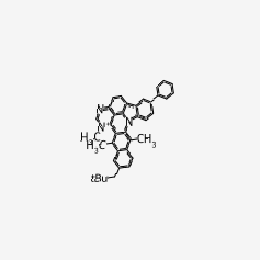 Cc1c2cc(CC(C)(C)C)ccc2c(C)c2c1c1c3c(ccc4c5cc(-c6ccccc6)ccc5n2c43)nc[n+]1C